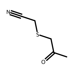 CC(=O)CSCC#N